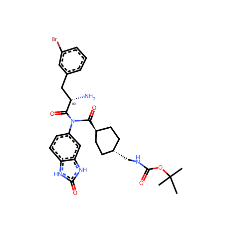 CC(C)(C)OC(=O)NC[C@H]1CC[C@H](C(=O)N(C(=O)[C@@H](N)Cc2cccc(Br)c2)c2ccc3[nH]c(=O)[nH]c3c2)CC1